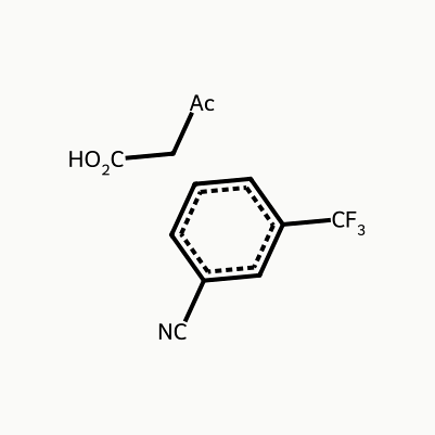 CC(=O)CC(=O)O.N#Cc1cccc(C(F)(F)F)c1